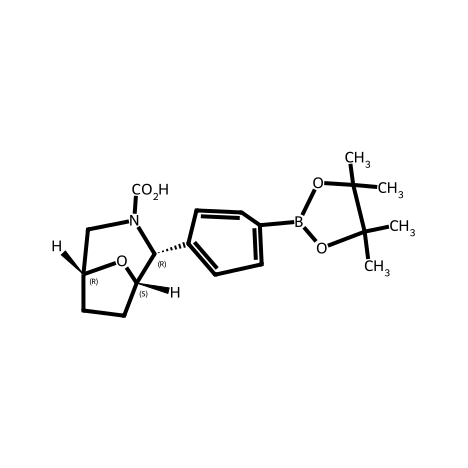 CC1(C)OB(c2ccc([C@@H]3[C@@H]4CC[C@H](CN3C(=O)O)O4)cc2)OC1(C)C